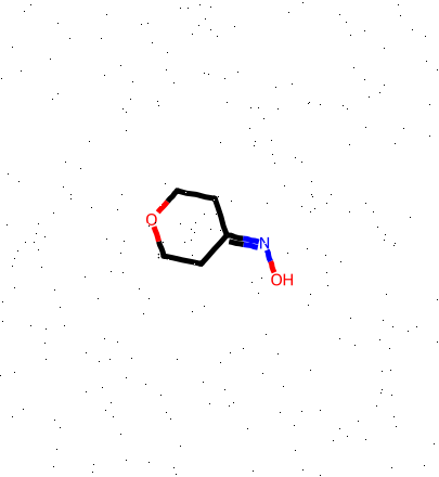 ON=C1C[C]OCC1